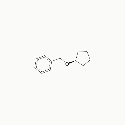 [CH]1CCC[C@@H]1OCc1ccccc1